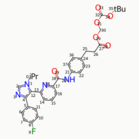 CC(C)n1cnc(-c2ccc(F)cc2)c1-c1cccc(C(=O)Nc2ccc(CCC(=O)OCOC(=O)OC(C)(C)C)cc2)n1